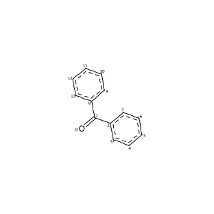 O=C(c1[c]cc[c]c1)c1ccccc1